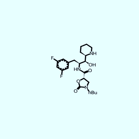 CCCCN1C[C@@H](C(=O)N[C@@H](Cc2cc(F)cc(F)c2)[C@H](O)[C@H]2CCCCN2)OC1=O